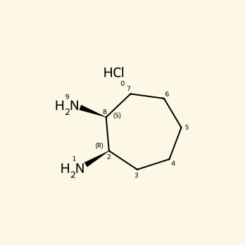 Cl.N[C@@H]1CCCCC[C@@H]1N